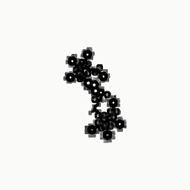 C[C@@H](CCC(=O)[C@@H](C)C1C(=O)CC2C3CCC4CC(O[C@@H]5OC(COC(=O)c6ccccc6)[C@H](OC(=O)c6ccccc6)C(OC(=O)c6ccccc6)C5OC(=O)c5ccccc5)CCC4(C)C3CCC21C)CO[C@@H]1OC(COC(=O)c2ccccc2)[C@H](OC(=O)c2ccccc2)C(OC(=O)c2ccccc2)C1OC(=O)c1ccccc1